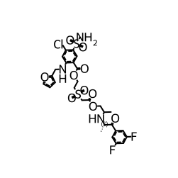 CC(COC(=O)CS(=O)(=O)CCOC(=O)c1cc(S(N)(=O)=O)c(Cl)cc1NCc1ccco1)N[C@@H](C)C(=O)c1cc(F)cc(F)c1